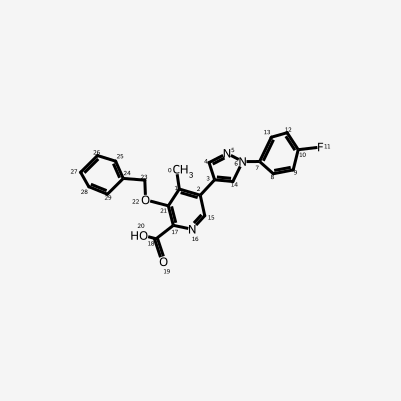 Cc1c(-c2cnn(-c3ccc(F)cc3)c2)cnc(C(=O)O)c1OCc1ccccc1